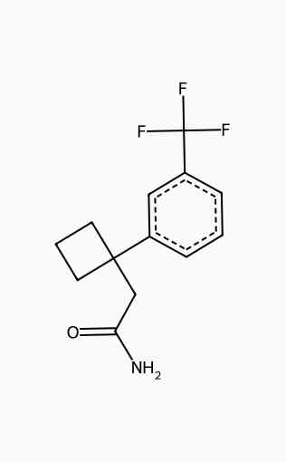 NC(=O)CC1(c2cccc(C(F)(F)F)c2)CCC1